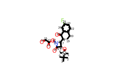 CC(C)(C)[Si](C)(C)O[C@@H]1C(=O)N(OC(=O)C=O)[C@@H]1[C@H]1CCc2ccc(F)cc2C1=O